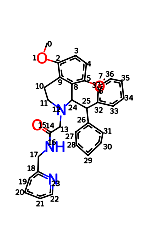 COc1ccc(OC)c2c1CCN(CC(=O)NCc1ccccn1)C2C(c1ccccc1)c1ccccc1